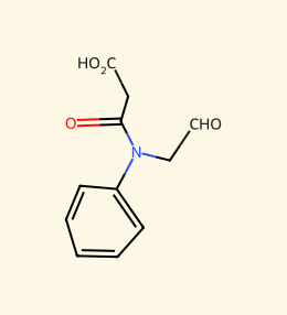 O=CCN(C(=O)CC(=O)O)c1ccccc1